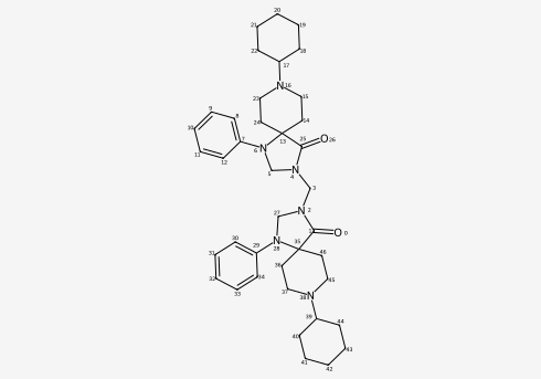 O=C1N(CN2CN(c3ccccc3)C3(CCN(C4CCCCC4)CC3)C2=O)CN(c2ccccc2)C12CCN(C1CCCCC1)CC2